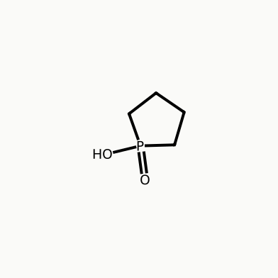 O=P1(O)CCCC1